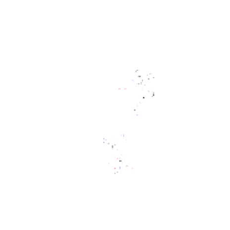 Cc1ncsc1-c1ccc(CNC(=O)[C@@H]2C[C@@H](O)CN2C(=O)[C@@H](NC(=O)C2(F)CC2)C(C)(C)C)c(OCC(=O)NCCCCCCCCNC(=O)CCCCC#Cc2cccc(Cn3c(-c4ccccc4)c(-c4ccccc4)c4c(=N)n(C5CCC(O)CC5)cnc43)c2)c1